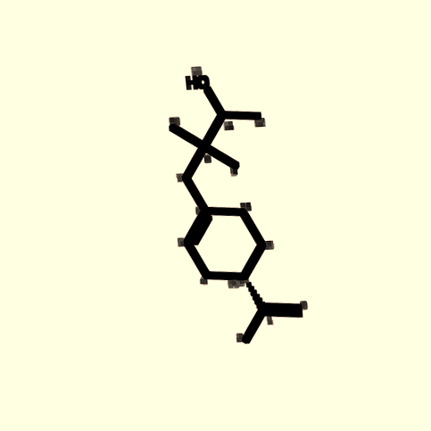 C=C(C)[C@@H]1CC=C(CC(C)(C)C(C)O)CC1